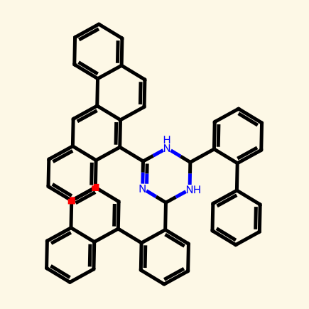 c1ccc(-c2ccccc2C2NC(c3c4ccccc4cc4c3ccc3ccccc34)=NC(c3ccccc3-c3cccc4ccccc34)N2)cc1